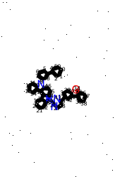 c1ccc(-c2cccc(-n3c4ccccc4c4c5c6ccccc6n(-c6nccc(-c7ccc8oc9ccccc9c8c7)n6)c5ccc43)c2)cc1